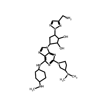 CNC1CCC(Nc2nc(N3CCC(N(C)C)C3)nc3c2ncn3C2CC(n3ncc(CN)n3)C(O)C2O)CC1